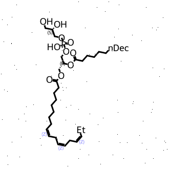 CC/C=C\C/C=C\C/C=C\CCCCCCCC(=O)OC[C@H](COP(=O)(O)OC[C@@H](O)CO)OC(=O)CCCCCCCCCCCCCCC